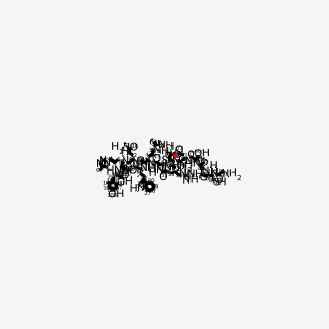 Cc1cn(CCC[C@H](NC(=O)[C@H](CCC(N)=O)NC(=O)[C@H](CCc2c[nH]c3ccccc23)NC(=O)[C@H](CCCNC(N)=O)NC(=O)[C@H](CS)NC(=O)[C@H](CCCNC(=N)N)NC(=O)[C@@H]2CCCN2C(=O)[C@H](CC(=O)O)NC(=O)[C@@H](NC(=O)CNC(=O)[C@H](CS)NC(=O)CN)[C@@H](C)O)C(=O)N[C@@H](Cc2ccc(O)cc2)C(=O)O)nn1